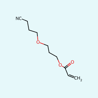 C=CC(=O)OCCCOCCCC#N